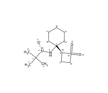 CC(C)(C)[S@+]([O-])NC1([C@@H]2CCS2(=O)=O)CCCCC1